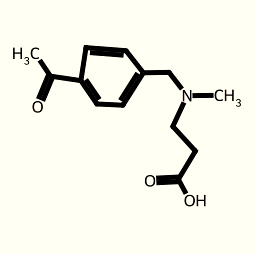 CC(=O)c1ccc(CN(C)CCC(=O)O)cc1